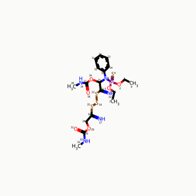 CCOP(=S)(OCC)N(c1ccccc1)C(OC(=O)NC)C(=N)SSSC(=N)COC(=O)NC